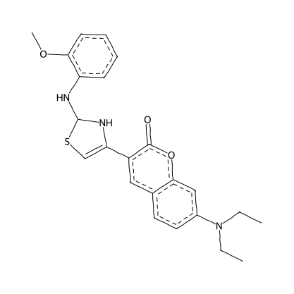 CCN(CC)c1ccc2cc(C3=CSC(Nc4ccccc4OC)N3)c(=O)oc2c1